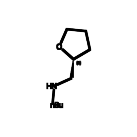 CCCCNC[C@H]1CCCO1